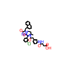 CC1CCN(C(Cc2cccc3ccccc23)C(N)=O)C(=O)C(c2cccc(Cl)c2)N1C(=O)Cc1cccc(NC(=O)CCC(=O)O)c1